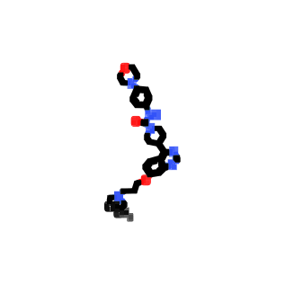 CCN(CC)CCCOc1ccc2c(C3CCN(C(=O)Nc4ccc(N5CCOCC5)cc4)CC3)ncnc2c1